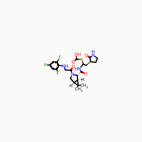 CC1(C)[C@@H]2[C@@H](C(=O)NC(C[C@@H]3CCNC3=O)SC(=O)O)N(C(=O)CNc3c(F)cc(F)cc3F)C[C@@H]21